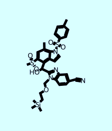 Cc1ccc(S(=O)(=O)n2ccc3c(C(O)c4nc5cc(C#N)ccc5n4COCC[Si](C)(C)C)c(S(C)(=O)=O)cc(C)c32)cc1